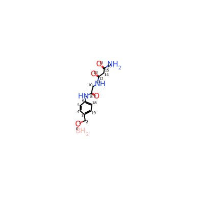 BOCc1ccc(NC(=O)CNC(=O)CC(N)=O)cc1